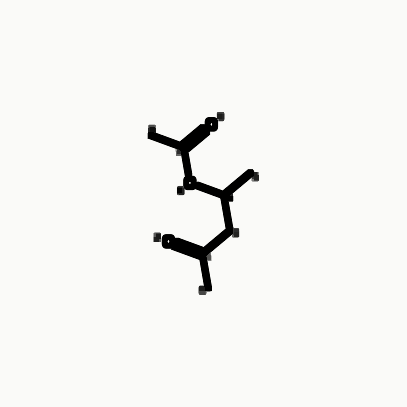 CC(=O)CC(C)OC(C)=O